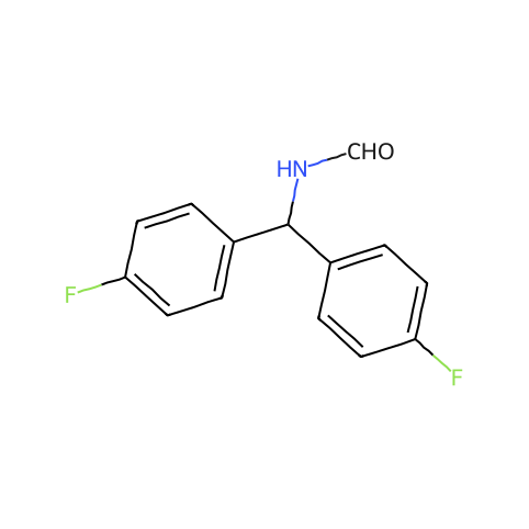 O=CNC(c1ccc(F)cc1)c1ccc(F)cc1